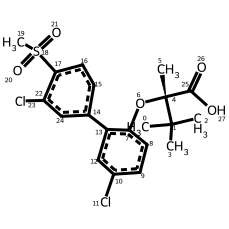 CC(C)(C)[C@](C)(Oc1ccc(Cl)cc1-c1ccc(S(C)(=O)=O)c(Cl)c1)C(=O)O